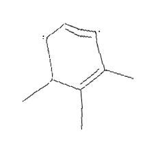 CC1=C(C)C(C)[C]C=[C]1